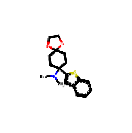 CN(C)C1(c2cc3ccccc3s2)CCC2(CC1)OCCO2